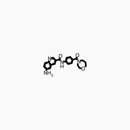 Nc1ccc2ncc(C(=O)Nc3ccc(C(=O)N4CCCOCC4)cc3)cc2c1